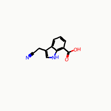 N#CCc1c[nH]c2c(C(=O)O)cccc12